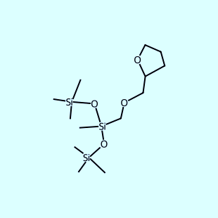 C[Si](C)(C)O[Si](C)(COCC1CCCO1)O[Si](C)(C)C